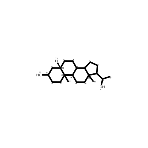 CC(O)C1CCC2C3CC[C@H]4CC(O)CCC4(C)C3CCC12C